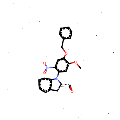 COc1cc(N2c3ccccc3C[C@H]2C=O)c([N+](=O)[O-])cc1OCc1ccccc1